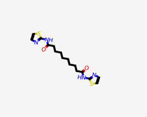 O=C(CCCCCCCCC(=O)Nc1nccs1)Nc1nccs1